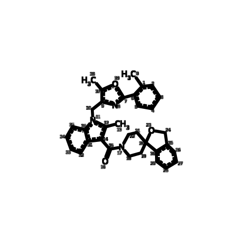 Cc1ccccc1-c1nc(Cn2c(C)c(C(=O)N3CCC4(CC3)OCc3ccccc34)c3ccccc32)c(C)o1